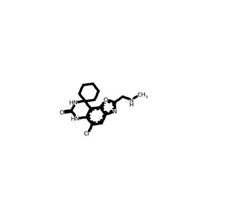 CNCc1nc2cc(Cl)c3c(c2o1)C1(CCCCC1)NC(=O)N3